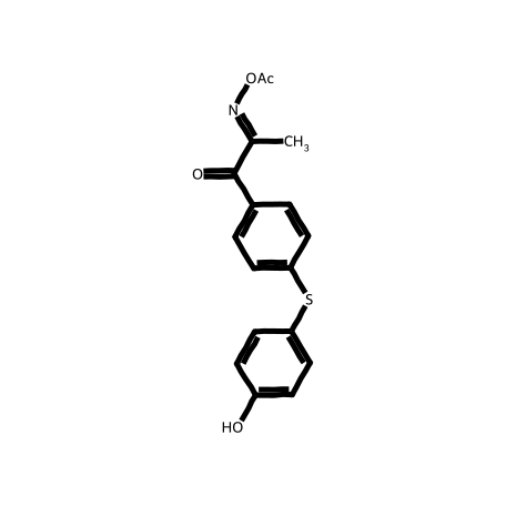 CC(=O)O/N=C(\C)C(=O)c1ccc(Sc2ccc(O)cc2)cc1